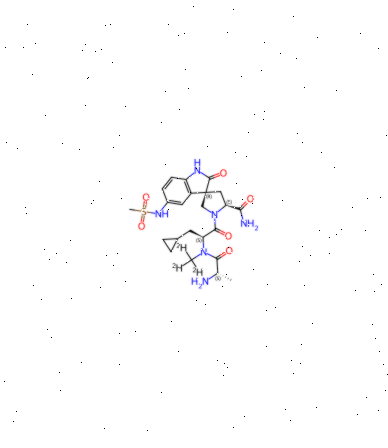 [2H]C([2H])([2H])N(C(=O)[C@H](C)N)[C@@H](CC1CC1)C(=O)N1C[C@]2(C[C@H]1C(N)=O)C(=O)Nc1ccc(NS(C)(=O)=O)cc12